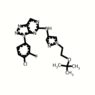 CC(C)(C)OCCn1cc(Nc2ncc3nnn(-c4ccc(Cl)c(F)c4)c3n2)cn1